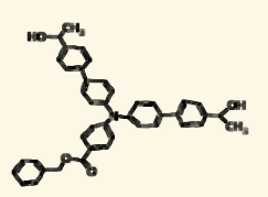 CC(O)c1ccc(-c2ccc(N(c3ccc(C(=O)OCc4ccccc4)cc3)c3ccc(-c4ccc(C(C)O)cc4)cc3)cc2)cc1